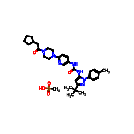 CS(=O)(=O)O.Cc1ccc(-n2nc(C(C)(C)C)cc2NC(=O)Nc2ccc(N3CCN(C(=O)CC4CCCC4)CC3)nc2)cc1